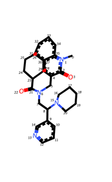 Cn1c(=O)c(CN(CC(c2cccnc2)N2CCCCC2)C(=O)C2CCCCC2)cc2ccccc21